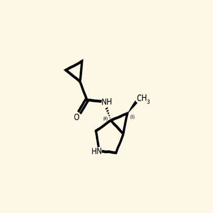 C[C@H]1C2CNC[C@]21NC(=O)C1CC1